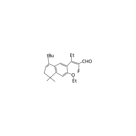 CCOc1cc2c(cc1C(CC)=C(F)C=O)C(C(C)(C)C)=CCC2(C)C